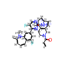 C=CC(=O)N1CCC2=C(/C=C\C(Nc3ncc(F)c(-c4cc(F)c5c(c4)N(C(C)C)C(C)=CC=C5)n3)=C\CC2C)C1